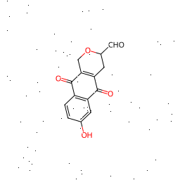 O=CC1CC2=C(CO1)C(=O)c1ccc(O)cc1C2=O